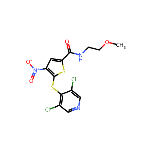 COCCNC(=O)c1cc([N+](=O)[O-])c(Sc2c(Cl)cncc2Cl)s1